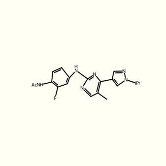 CC(=O)Nc1ccc(Nc2ncc(C)c(-c3cnn(C(C)C)c3)n2)cc1F